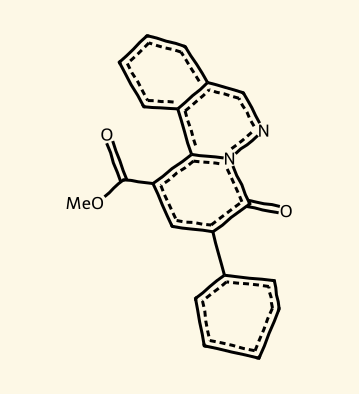 COC(=O)c1cc(-c2ccccc2)c(=O)n2ncc3ccccc3c12